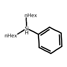 CCCCCC[SiH](CCCCCC)c1ccccc1